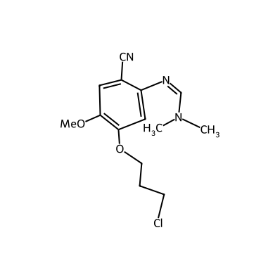 COc1cc(C#N)c(/N=C\N(C)C)cc1OCCCCl